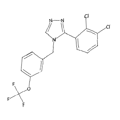 FC(F)(F)Oc1cccc(Cn2cnnc2-c2cccc(Cl)c2Cl)c1